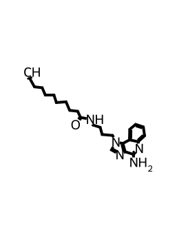 C#CCCCCCCCCC(=O)NCCCCn1cnc2c(N)nc3ccccc3c21